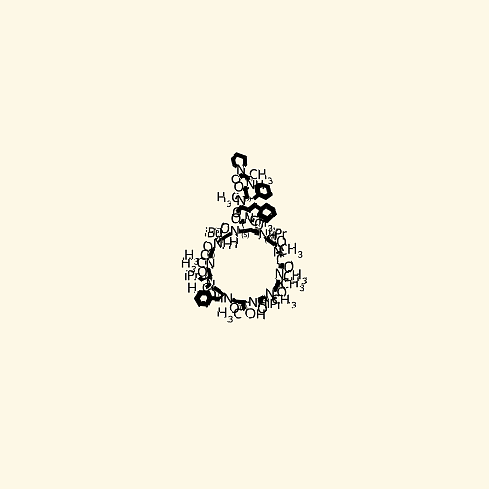 CC[C@H](C)[C@@H]1NC(=O)[C@H](C)N(C)C(=O)[C@H](CC(C)C)N(C)C(=O)[C@H](Cc2ccccc2)NC(=O)[C@H]([C@@H](C)O)NC(=O)[C@H](C(C)C)N(C)C(=O)[C@H](C)N(C)C(=O)CN(C)C(=O)[C@@H](C(C)C)NC(=O)C[C@@H](C(=O)N(C)C(Cc2ccccc2)C(=O)N(C)[C@@H](Cc2ccccc2)C(=O)N[C@@H](C)C(=O)N2CCCCC2)NC1=O